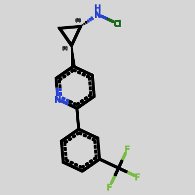 FC(F)(F)c1cccc(-c2ccc([C@H]3C[C@@H]3NCl)cn2)c1